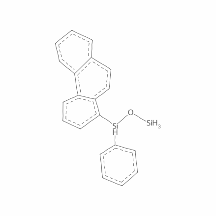 [SiH3]O[SiH](c1ccccc1)c1cccc2c1ccc1ccccc12